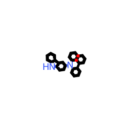 c1ccc(-c2ccccc2N(c2ccccc2)c2ccc3[nH]c4ccccc4c3c2)cc1